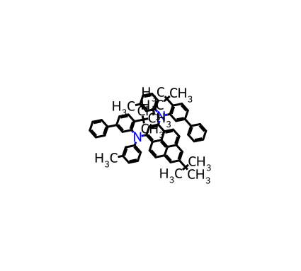 Cc1cccc(N(c2cc(-c3ccccc3)ccc2C(C)(C)C)c2cc(N(c3cccc(C)c3)c3cc(-c4ccccc4)ccc3C(C)(C)C)c3ccc4cc(C(C)(C)C)cc5ccc2c3c54)c1